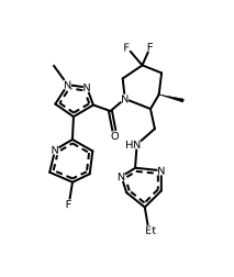 CCc1cnc(NCC2[C@H](C)CC(F)(F)CN2C(=O)c2nn(C)cc2-c2ccc(F)cn2)nc1